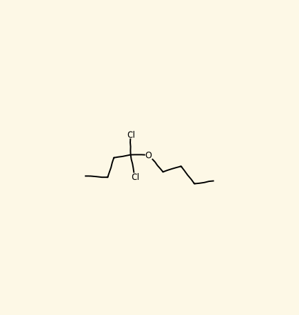 CCCCOC(Cl)(Cl)CCC